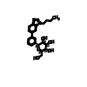 CCCCn1cnc2ccc(-c3cccc([C@H]4O[C@H](CO)[C@@H](O)[C@H](O)[C@@H]4O)c3)cc21